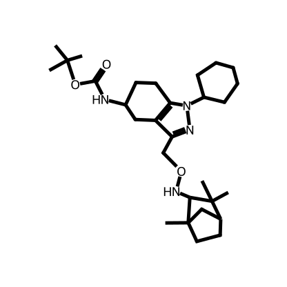 CC(C)(C)OC(=O)NC1CCc2c(c(CONC3C4(C)CCC(C4)C3(C)C)nn2C2CCCCC2)C1